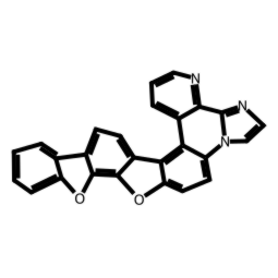 c1ccc2c(c1)oc1c2ccc2c1oc1ccc3c(c4cccnc4c4nccn34)c12